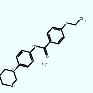 CCSc1ccc(C(=O)Nc2ccc([C@@H]3CCCNC3)cc2)cc1.Cl